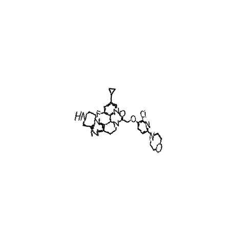 O=C(COc1ccc(N2CCOCC2)nc1Cl)N1CCc2nc3n(c2C1c1ncc(C2CC2)cc1F)CCNC3